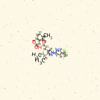 CCC(CC)c1nn(-c2ccc(C(F)(F)F)cn2)cc1CCCOc1c(C)cccc1CC(=O)O